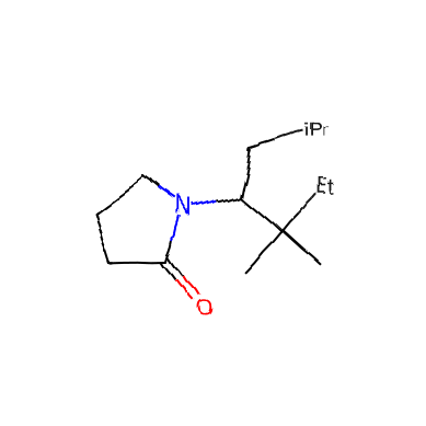 CCC(C)(C)C(CC(C)C)N1CCCC1=O